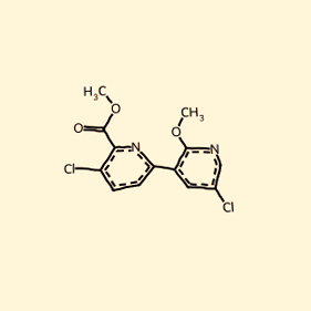 COC(=O)c1nc(-c2cc(Cl)cnc2OC)ccc1Cl